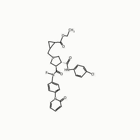 CCOC(=O)C1CC1CN1C[C@H](C(=O)Nc2ccc(Cl)cc2)[C@@H](C(=O)N(F)c2ccc(-n3ccccc3=O)cc2)C1